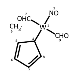 O=[CH][W]([CH]=O)([N]=O)[CH]1C=CC=C1.[CH3]